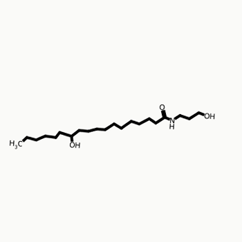 CCCCCCC(O)CCCCCCCCCCC(=O)NCCCO